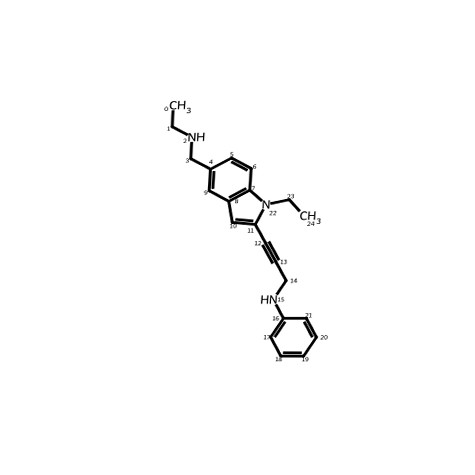 CCNCc1ccc2c(c1)cc(C#CCNc1ccccc1)n2CC